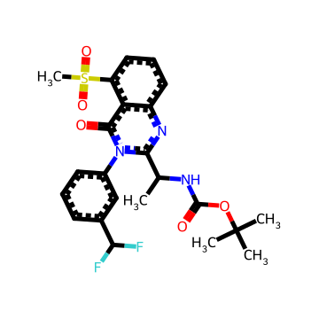 CC(NC(=O)OC(C)(C)C)c1nc2cccc(S(C)(=O)=O)c2c(=O)n1-c1cccc(C(F)F)c1